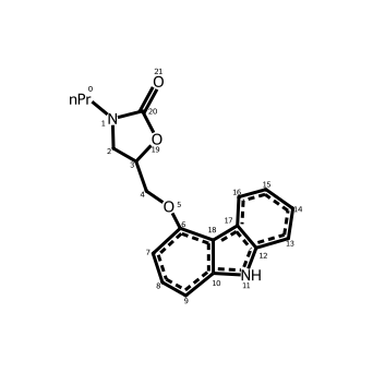 CCCN1CC(COc2cccc3[nH]c4ccccc4c23)OC1=O